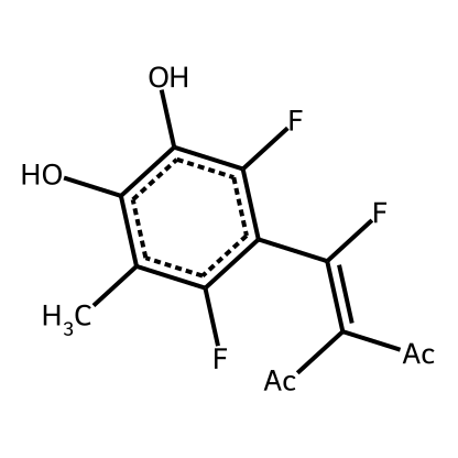 CC(=O)C(C(C)=O)=C(F)c1c(F)c(C)c(O)c(O)c1F